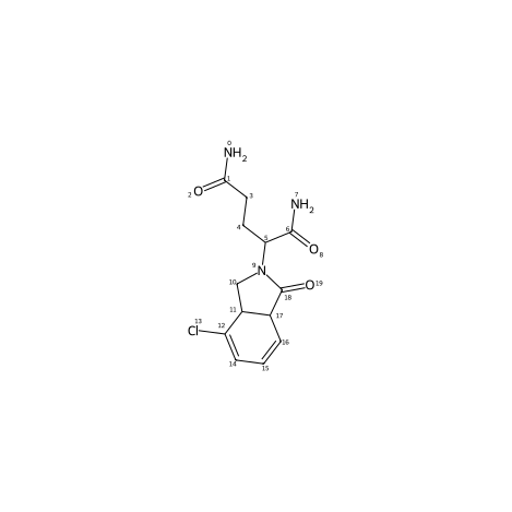 NC(=O)CCC(C(N)=O)N1CC2C(Cl)=CC=CC2C1=O